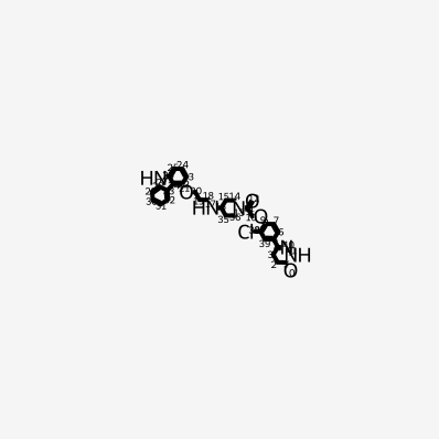 O=C1CCC(c2ccc(OCC(=O)N3CCC(NCCCOc4cccc5[nH]c6ccccc6c45)CC3)c(Cl)c2)=NN1